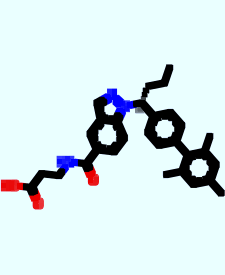 CCC[C@H](c1ccc(-c2c(C)cc(C)cc2C)cc1)n1ncc2cc(C(=O)NCCC(=O)O)ccc21